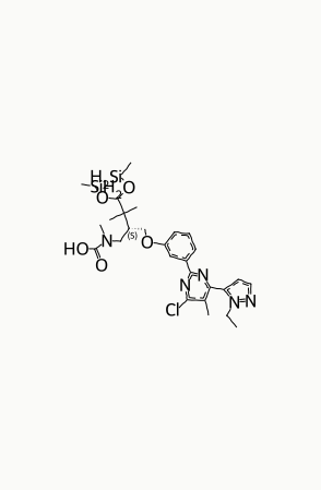 CCn1nccc1-c1nc(-c2cccc(OC[C@H](CN(C)C(=O)O)C(C)(C)C(O[SiH2]C)O[SiH2]C)c2)nc(Cl)c1C